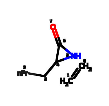 C=C.CCCCC1NC1=O